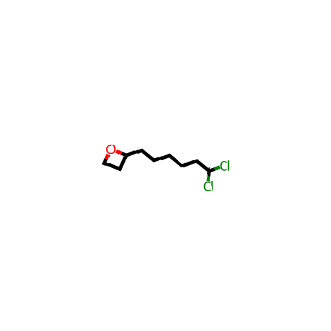 Cl[C](Cl)CCCCCC1CCO1